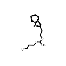 CCCCOC(C)OCCc1cc2ccccc2[nH]1